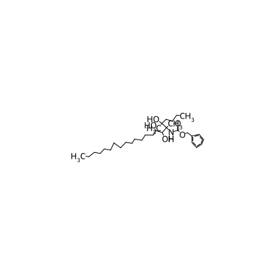 CCCCCCCCCCCCCCC(O)C(O)C(C)(NC(=O)OCc1ccccc1)C(C)(O)CCCC